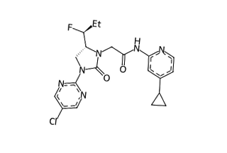 CC[C@H](F)[C@H]1CN(c2ncc(Cl)cn2)C(=O)N1CC(=O)Nc1cc(C2CC2)ccn1